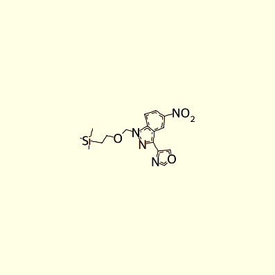 C[Si](C)(C)CCOCn1nc(-c2cocn2)c2cc([N+](=O)[O-])ccc21